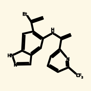 C=C(Nc1cc2cn[nH]c2cc1C(=C)CC)c1cccc(C(F)(F)F)n1